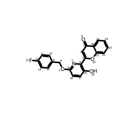 O=c1cc(-c2nc(OCc3ccc(F)cc3)ccc2O)oc2ccccc12